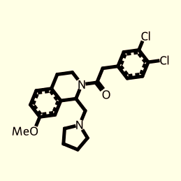 COc1ccc2c(c1)C(CN1CCCC1)N(C(=O)Cc1ccc(Cl)c(Cl)c1)CC2